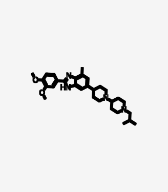 COc1ccc(-c2nc3c(C)cc(C4CCN(C5CCN(CC(C)C)CC5)CC4)cc3[nH]2)cc1OC